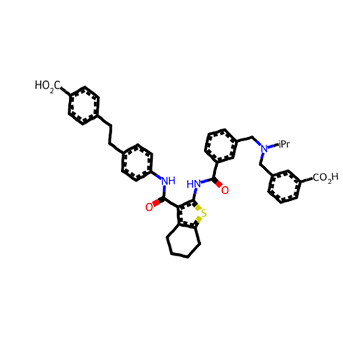 CC(C)N(Cc1cccc(C(=O)O)c1)Cc1cccc(C(=O)Nc2sc3c(c2C(=O)Nc2ccc(CCc4ccc(C(=O)O)cc4)cc2)CCCC3)c1